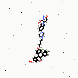 O=C1CC[C@@H](N2Cc3cc(N4CCN(CCCCCOc5ccc(C6c7ccc(O)cc7OCC6c6ccc(F)c(C(F)(F)F)c6)cc5F)CC4)ccc3C2=O)C(=O)N1